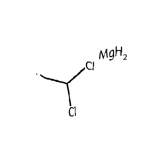 [CH2]C(Cl)Cl.[MgH2]